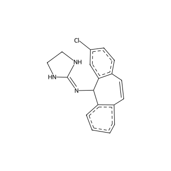 Clc1ccc2c(c1)C(N=C1NCCN1)c1ccccc1C=C2